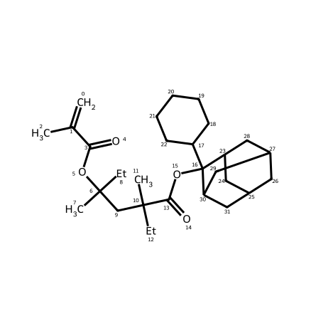 C=C(C)C(=O)OC(C)(CC)CC(C)(CC)C(=O)OC1(C2CCCCC2)C2CC3CC(C2)CC1C3